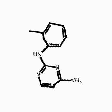 Cc1ccccc1Nc1nccc(N)n1